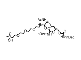 CCCCCCCCCCNC(=O)OC[C@H](CSC[C@H](NC(C)=O)C(=O)NCCOCCOCCOCCP(C)(=O)O)OC(=O)NCCCCCCCCCC